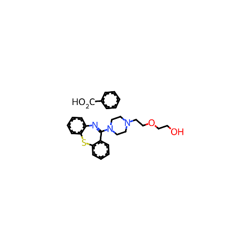 O=C(O)c1ccccc1.OCCOCCN1CCN(C2=Nc3ccccc3Sc3ccccc32)CC1